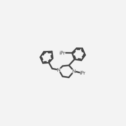 CC(C)c1ccccc1C1CN(Cc2ccccc2)CCN1C(C)C